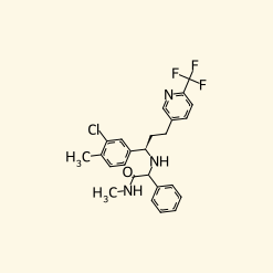 CNC(=O)C(N[C@H](CCc1ccc(C(F)(F)F)nc1)c1ccc(C)c(Cl)c1)c1ccccc1